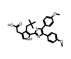 COc1ccc(-c2nc(-c3[nH]cc(CC(=O)O)c3CC(C)(C)C)sc2-c2ccc(OC)cc2)cc1